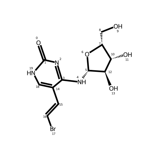 O=c1nc(N[C@@H]2O[C@H](CO)[C@H](O)[C@H]2O)c(C=CBr)c[nH]1